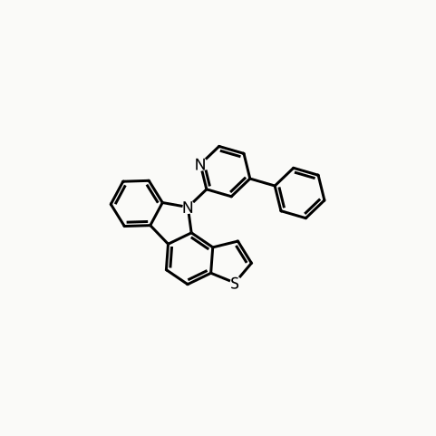 c1ccc(-c2ccnc(-n3c4ccccc4c4ccc5sccc5c43)c2)cc1